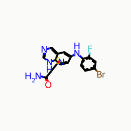 NC(=O)C1=NC2=CC(Nc3ccc(Br)cc3F)=CC3=CN=CNC32S1